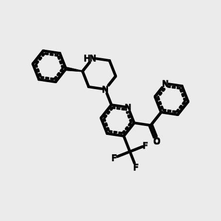 O=C(c1cccnc1)c1nc(N2CCN[C@H](c3ccccc3)C2)ccc1C(F)(F)F